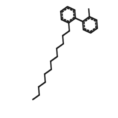 CCCCCCCCCCCCc1ccccc1-c1ccccc1C